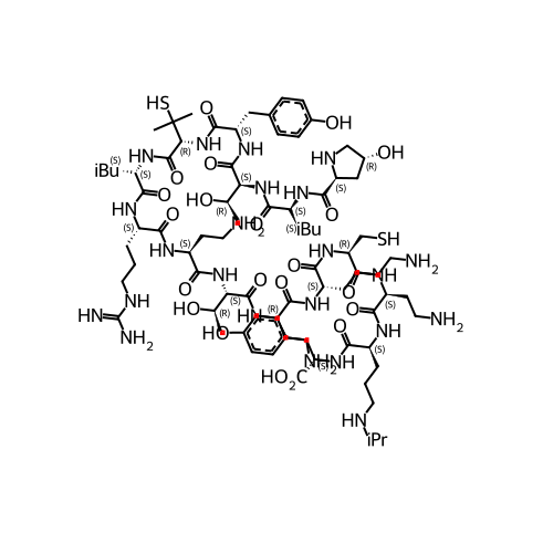 CC[C@H](C)[C@H](NC(=O)[C@@H]1C[C@@H](O)CN1)C(=O)N[C@H](C(=O)N[C@@H](Cc1ccc(O)cc1)C(=O)N[C@H](C(=O)N[C@H](C(=O)N[C@@H](CCCNC(=N)N)C(=O)N[C@@H](CCN)C(=O)N[C@H](C(=O)N[C@H](CCN)C(=O)N[C@@H](CCCCN)C(=O)N[C@@H](CS)C(=O)N[C@@H](CCN)C(=O)N[C@@H](CCCNC(C)C)C(=O)N[C@@H](Cc1ccc(O)cc1)C(=O)O)[C@@H](C)O)[C@@H](C)CC)C(C)(C)S)[C@@H](C)O